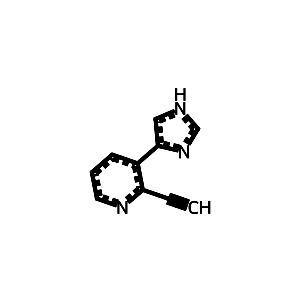 C#Cc1ncccc1-c1c[nH]cn1